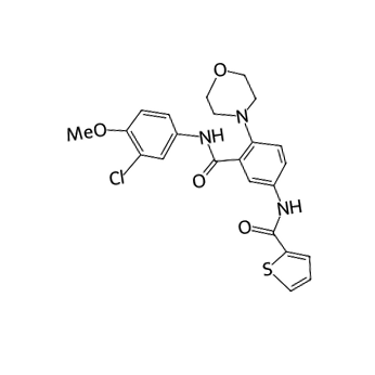 COc1ccc(NC(=O)c2cc(NC(=O)c3cccs3)ccc2N2CCOCC2)cc1Cl